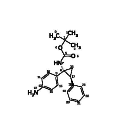 CC(C)(C)OC(=O)N[C@]1(c2ccc(N)cc2)C[C@H]1c1ccccc1